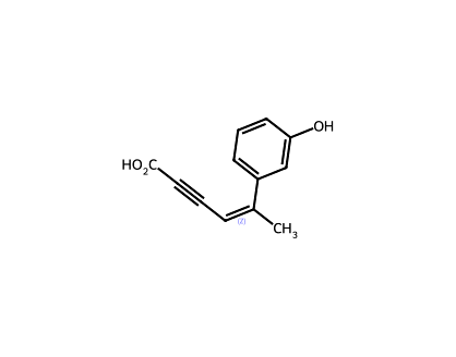 C/C(=C/C#CC(=O)O)c1cccc(O)c1